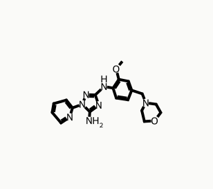 COc1cc(CN2CCOCC2)ccc1Nc1nc(N)n(-c2ccccn2)n1